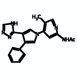 CC(=O)Nc1cc(-n2cc(-c3ccccc3)c(-c3nnc[nH]3)c2)c(C)cn1